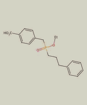 CCOP(=O)(CCCc1ccccc1)Cc1ccc(C(=O)O)cc1